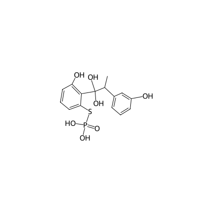 CC(c1cccc(O)c1)C(O)(O)c1c(O)cccc1SP(=O)(O)O